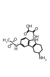 CS(=O)(=O)Nc1ccc2[nH]c3c(c2c1)CC(N)CC3.O=C(O)C(=O)O